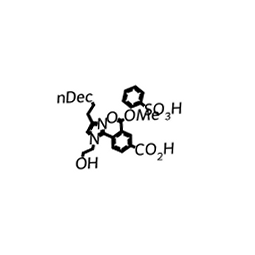 CCCCCCCCCCCCc1cn(CCO)c(-c2ccc(C(=O)O)cc2C(=O)OC)n1.O=S(=O)(O)c1ccccc1